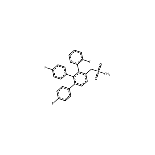 CS(=O)(=O)Cc1ccc(-c2ccc(F)cc2)c(-c2ccc(F)cc2)c1-c1ccccc1F